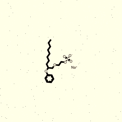 CCCCCCCCC(COCCOS(=O)(=O)[O-])Oc1ccccc1.[Na+]